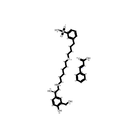 NS(=O)(=O)c1cccc(CCCCOCCCCCCNC[C@H](O)c2ccc(O)c(CO)c2)c1.O=C(O)/C=C/c1ccccc1